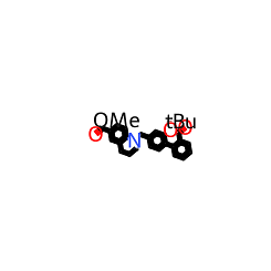 COC(=O)c1ccc2c(c1)CCCN2Cc1ccc(-c2ccccc2C(=O)OC(C)(C)C)cc1